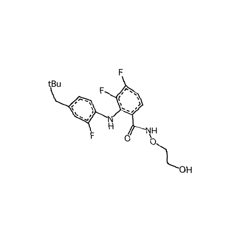 CC(C)(C)Cc1ccc(Nc2c(C(=O)NOCCO)ccc(F)c2F)c(F)c1